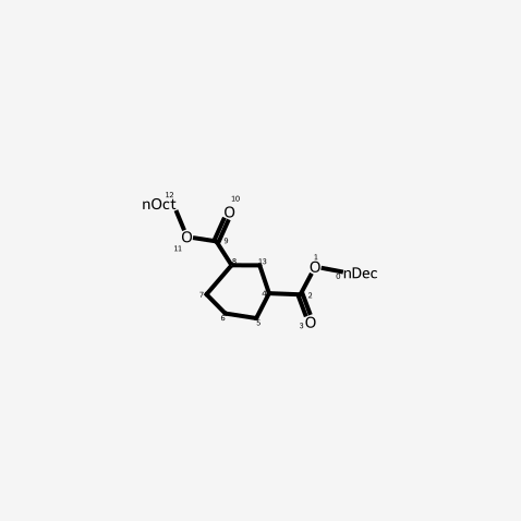 CCCCCCCCCCOC(=O)C1CCCC(C(=O)OCCCCCCCC)C1